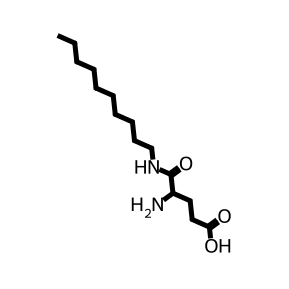 CCCCCCCCCCNC(=O)C(N)CCC(=O)O